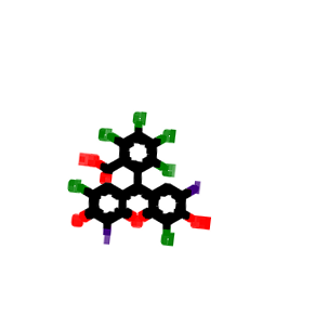 O=C(O)c1c(Cl)c(Cl)c(Cl)c(Cl)c1-c1c2cc(Cl)c(=O)c(I)c-2oc2c(Cl)c(O)c(I)cc12